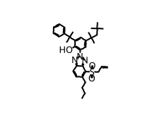 C=CCS(=O)(=O)c1c(CCCC)ccc2nn(-c3cc(C(C)(C)CC(C)(C)C)cc(C(C)(C)c4ccccc4)c3O)nc12